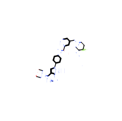 N[C@H]1CN(Cc2ccnc(C(=O)Nc3ccc(-c4cc5c(N6CCOCC6)ncnc5[nH]4)cc3)c2)CCC1(F)F